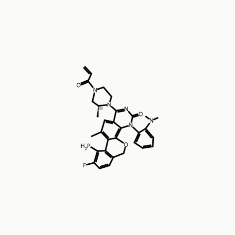 C=CC(=O)N1CCN(c2nc(=O)n(-c3ccccc3N(C)C)c3c4c(c(C)cc23)-c2c(ccc(F)c2P)CO4)[C@@H](C)C1